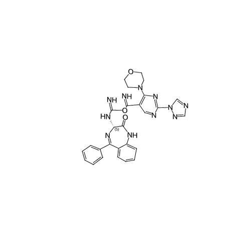 N=C(N[C@H]1N=C(c2ccccc2)c2ccccc2NC1=O)OC(=N)c1cnc(-n2cncn2)nc1N1CCOCC1